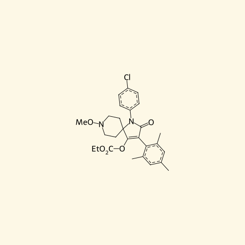 CCOC(=O)OC1=C(c2c(C)cc(C)cc2C)C(=O)N(c2ccc(Cl)cc2)C12CCN(OC)CC2